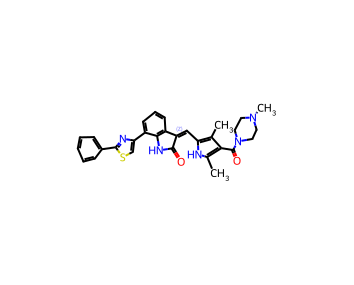 Cc1[nH]c(/C=C2\C(=O)Nc3c2cccc3-c2csc(-c3ccccc3)n2)c(C)c1C(=O)N1CCN(C)CC1